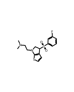 CN(C)CCN1CC(S(=O)(=O)c2cccc(F)c2)c2ccsc21